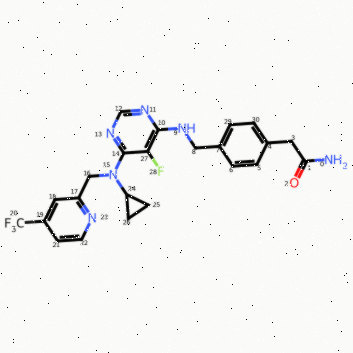 NC(=O)Cc1ccc(CNc2ncnc(N(Cc3cc(C(F)(F)F)ccn3)C3CC3)c2F)cc1